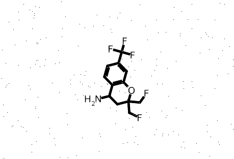 NC1CC(CF)(CF)Oc2cc(C(F)(F)F)ccc21